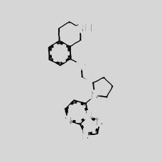 c1cc2c(c(OC[C@H]3CCCN3c3ccnc4ncnn34)c1)CNCC2